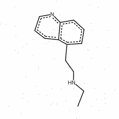 CCNCCc1cccc2ncccc12